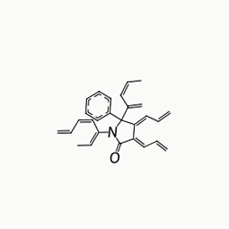 C=C/C=C\C(=C/C)N1C(=O)C(=C/C=C)/C(=C\C=C)C1(C(=C)/C=C\C)c1ccccc1